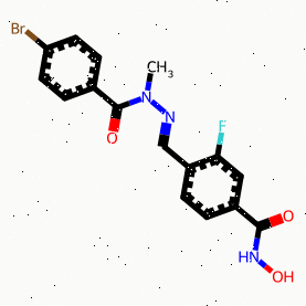 CN(N=Cc1ccc(C(=O)NO)cc1F)C(=O)c1ccc(Br)cc1